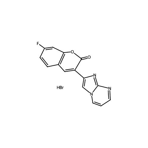 Br.O=c1oc2cc(F)ccc2cc1-c1cn2cccnc2n1